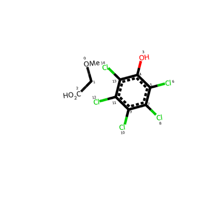 COCC(=O)O.Oc1c(Cl)c(Cl)c(Cl)c(Cl)c1Cl